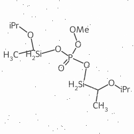 COOP(=O)(O[SiH2]C(C)OC(C)C)O[SiH2]C(C)OC(C)C